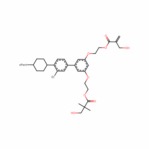 C=C(CO)C(=O)OCCOc1cc(OCCOC(=O)C(C)(C)CO)cc(-c2ccc(C3CCC(CCCCC)CC3)c(CC)c2)c1